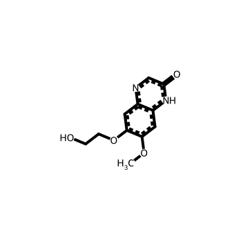 COc1cc2[nH]c(=O)cnc2cc1OCCO